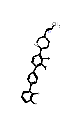 C/C=C/C1CCC(c2ccc(-c3ccc(-c4cccc(F)c4F)cc3)c(F)c2F)OC1